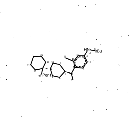 CCCCCC1([C@H]2CC[C@H](C(C)c3ccc(NCCCC)cc3C)CC2)CCCCC1